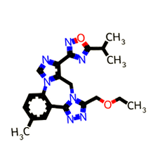 CCOCc1nnc2n1Cc1c(-c3noc(C(C)C)n3)ncn1-c1ccc(C)cc1-2